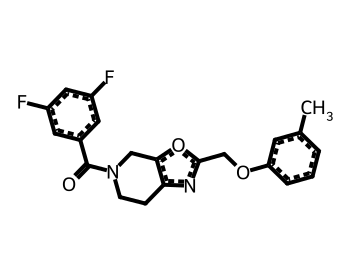 Cc1cccc(OCc2nc3c(o2)CN(C(=O)c2cc(F)cc(F)c2)CC3)c1